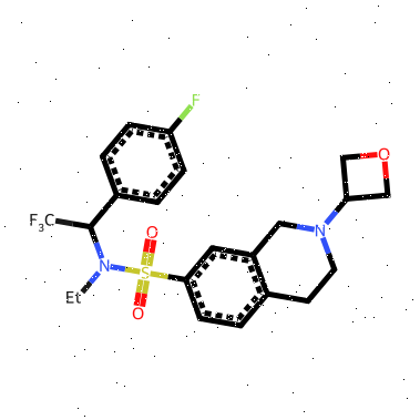 CCN(C(c1ccc(F)cc1)C(F)(F)F)S(=O)(=O)c1ccc2c(c1)CN(C1COC1)CC2